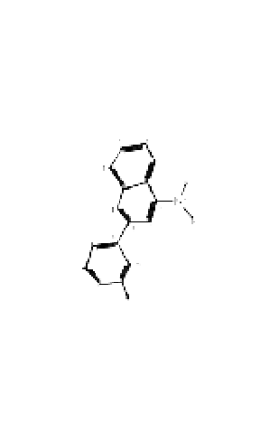 Cc1cccc(-c2cc(N(C)C)c3ccccc3c2)c1